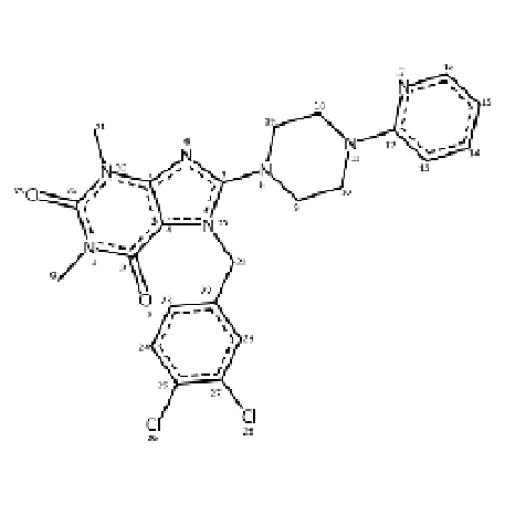 Cn1c(=O)c2c(nc(N3CCN(c4ccccn4)CC3)n2Cc2ccc(Cl)c(Cl)c2)n(C)c1=O